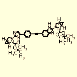 CC(C)(C)OC(=O)N1[C@@H]2C[C@@H]2C[C@H]1c1ncc(-c2ccc(C#Cc3ccc4nc([C@@H]5C[C@H]6C[C@H]6N5C(=O)OC(C)(C)C)[nH]c4c3)cc2)[nH]1